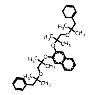 CC(C)(CC1=C=C=CC=C1)OCC(C)(C)Oc1cc2ccccc2cc1OC(C)(C)COC(C)(C)CC1=CC=CCC1